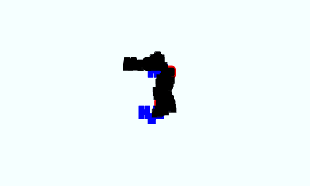 COc1cccc(CNC(=O)c2ccc(-c3cccc(CN(C)C(=O)CN)c3)cc2)c1